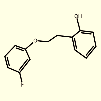 Oc1ccccc1CCOc1cccc(F)c1